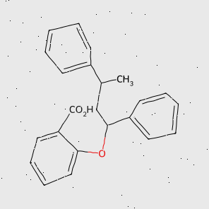 CC(CC(Oc1ccccc1C(=O)O)c1ccccc1)c1ccccc1